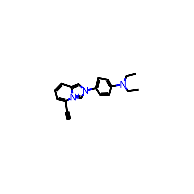 C#Cc1cccc2cn(-c3ccc(N(CC)CC)cc3)c[n+]12